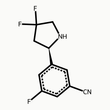 N#Cc1cc(F)cc([C@H]2CC(F)(F)CN2)c1